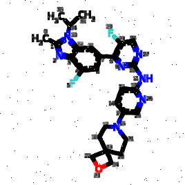 Cc1nc2c(F)cc(-c3nc(Nc4ccc(N5CCC6(CC5)COC6)cn4)ncc3F)cc2n1C(C)C